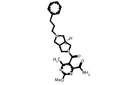 COc1nc(C)c(C(=O)N2CC3CN(CC[CH]c4ccccc4)C[C@H]3C2)c(C(N)=O)n1